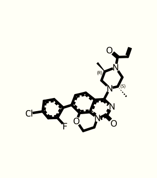 C=CC(=O)N1C[C@H](C)N(c2nc(=O)n3c4c(c(-c5ccc(Cl)cc5F)ccc24)OCC3)C[C@H]1C